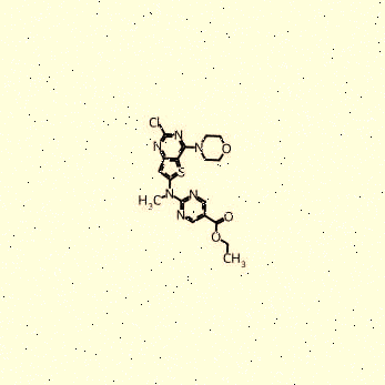 CCOC(=O)c1cnc(N(C)c2cc3nc(Cl)nc(N4CCOCC4)c3s2)nc1